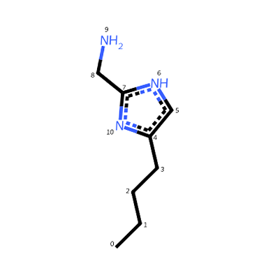 CCCCc1c[nH]c(CN)n1